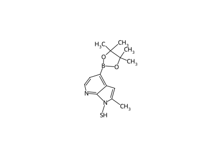 Cc1cc2c(B3OC(C)(C)C(C)(C)O3)ccnc2n1S